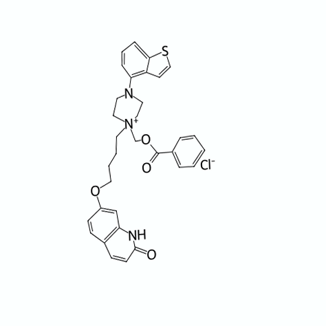 O=C(OC[N+]1(CCCCOc2ccc3ccc(=O)[nH]c3c2)CCN(c2cccc3sccc23)CC1)c1ccccc1.[Cl-]